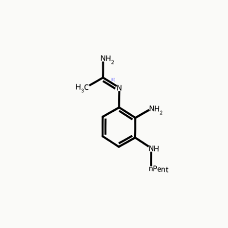 CCCCCNc1cccc(/N=C(\C)N)c1N